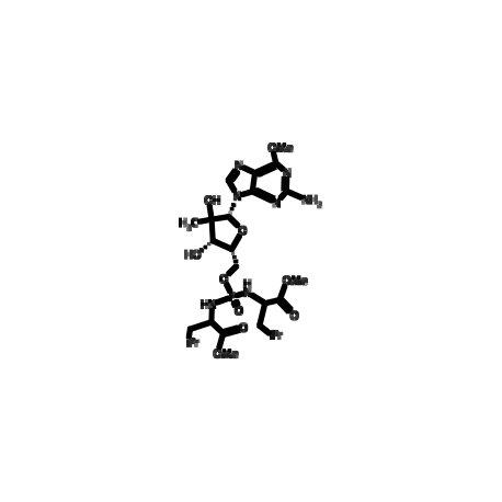 COC(=O)C(CC(C)C)NP(=O)(NC(CC(C)C)C(=O)OC)OC[C@H]1O[C@@H](n2cnc3c(OC)nc(N)nc32)C(C)(O)[C@H]1O